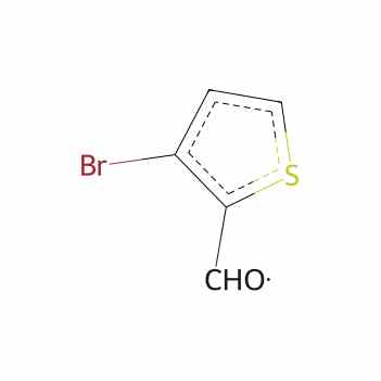 O=[C]c1sccc1Br